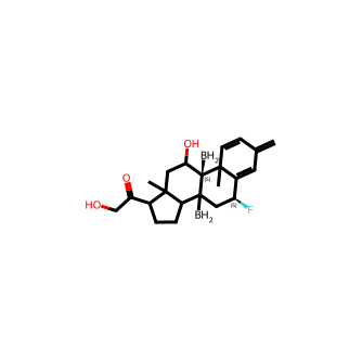 BC12C[C@H](F)C3=CC(=C)C=CC3(C)[C@@]1(B)C(O)CC1(C)C(C(=O)CO)CCC12